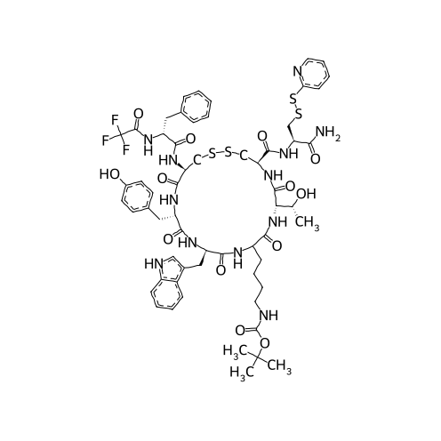 C[C@@H](O)[C@@H]1NC(=O)C(CCCCNC(=O)OC(C)(C)C)NC(=O)[C@@H](Cc2c[nH]c3ccccc23)NC(=O)[C@H](Cc2ccc(O)cc2)NC(=O)[C@@H](NC(=O)[C@@H](Cc2ccccc2)NC(=O)C(F)(F)F)CSSC[C@@H](C(=O)N[C@@H](CSSc2ccccn2)C(N)=O)NC1=O